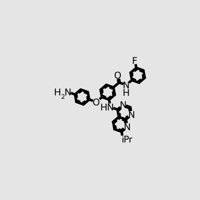 CC(C)c1ccc2c(Nc3cc(C(=O)Nc4cccc(F)c4)ccc3Oc3ccc(N)cc3)ncnc2n1